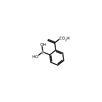 C=C(C(=O)O)c1ccccc1B(O)O